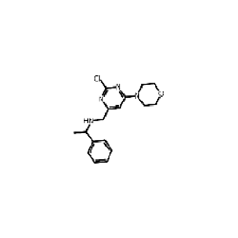 CC(NCc1cc(N2CCOCC2)nc(Cl)n1)c1ccccc1